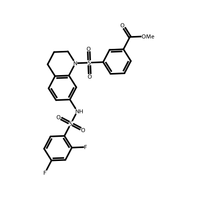 COC(=O)c1cccc(S(=O)(=O)N2CCCc3ccc(NS(=O)(=O)c4ccc(F)cc4F)cc32)c1